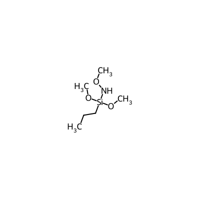 CCC[Si](NOC)(OC)OC